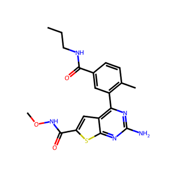 CCCNC(=O)c1ccc(C)c(-c2nc(N)nc3sc(C(=O)NOC)cc23)c1